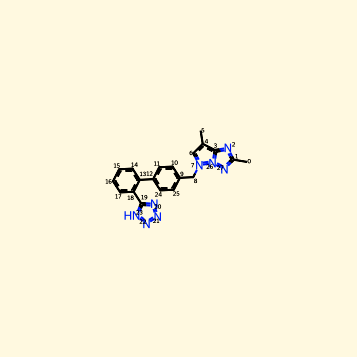 Cc1nc2c(C)cn(Cc3ccc(-c4ccccc4-c4nnn[nH]4)cc3)n2n1